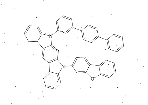 c1ccc(-c2ccc(-c3cccc(-n4c5ccccc5c5cc6c7ccccc7n(-c7ccc8c(c7)oc7ccccc78)c6cc54)c3)cc2)cc1